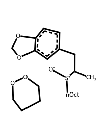 C1CCOOC1.CCCCCCCC[S+]([O-])C(C)Cc1ccc2c(c1)OCO2